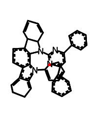 C1=CCCC(n2c3c(c4ccc5c(c42)N(c2nc(-c4ccccc4)cc(-c4ccccc4)n2)C2C=CC=CC52)=CCCC=3)=C1